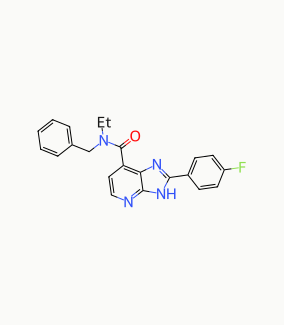 CCN(Cc1ccccc1)C(=O)c1ccnc2[nH]c(-c3ccc(F)cc3)nc12